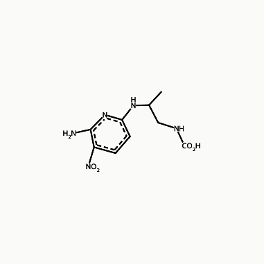 CC(CNC(=O)O)Nc1ccc([N+](=O)[O-])c(N)n1